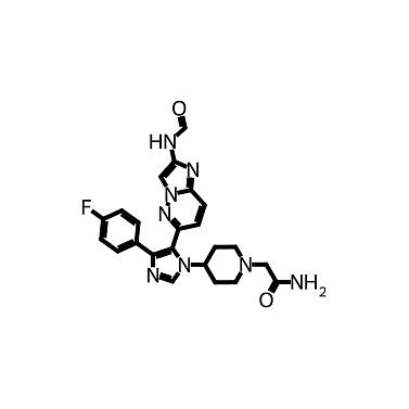 NC(=O)CN1CCC(n2cnc(-c3ccc(F)cc3)c2-c2ccc3nc(NC=O)cn3n2)CC1